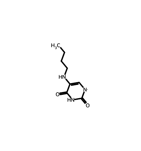 CCCCNC1=C[N]C(=O)NC1=O